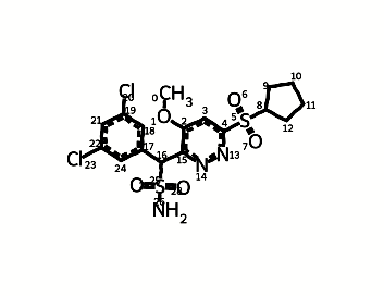 COc1cc(S(=O)(=O)C2CCCC2)nnc1C(c1cc(Cl)cc(Cl)c1)S(N)(=O)=O